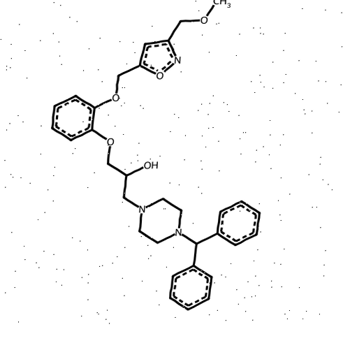 COCc1cc(COc2ccccc2OCC(O)CN2CCN(C(c3ccccc3)c3ccccc3)CC2)on1